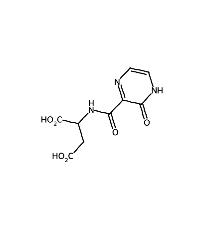 O=C(O)CC(NC(=O)c1ncc[nH]c1=O)C(=O)O